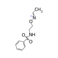 C/C=N/OCCNS(=O)(=O)c1ccccc1